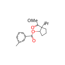 COC(=O)C1(C(C)C)CCCC1OC(=O)c1cccc(C)c1